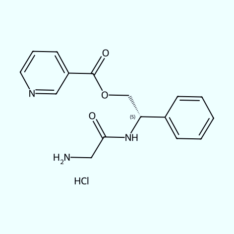 Cl.NCC(=O)N[C@H](COC(=O)c1cccnc1)c1ccccc1